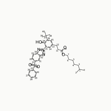 CC(C)CCCCCOC(=O)CCc1cc(-n2nc3ccc(S(=O)(=O)c4ccccc4)cc3n2)c(O)c(C(C)(C)C)c1